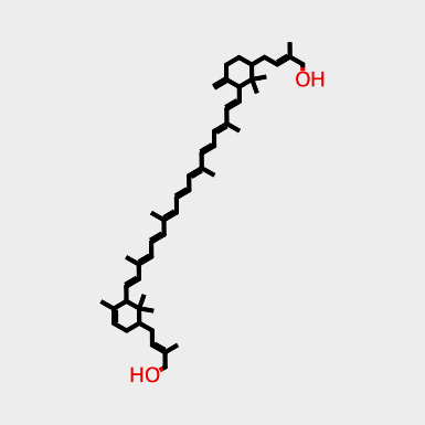 C=C1CCC(C/C=C(\C)CO)C(C)(C)C1/C=C/C(C)=C/C=C/C(C)=C/C=C/C=C(C)/C=C/C=C(C)/C=C/C1C(C)=CCC(C/C=C(\C)CO)C1(C)C